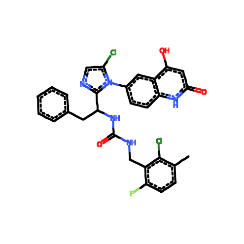 Cc1ccc(F)c(CNC(=O)NC(Cc2ccccc2)c2ncc(Cl)n2-c2ccc3[nH]c(=O)cc(O)c3c2)c1Cl